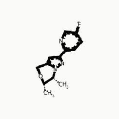 C[C@@H]1OCc2cc(-c3ccc(F)cn3)nn2[C@@H]1C